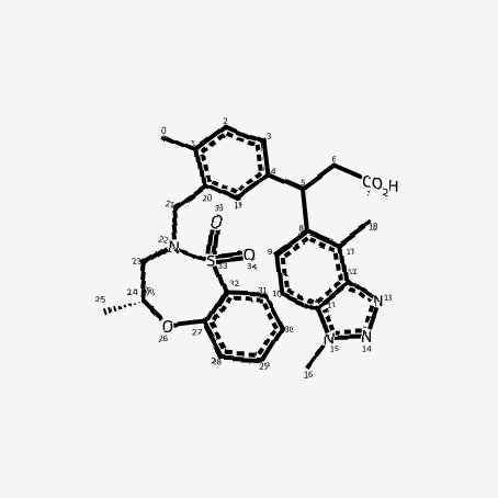 Cc1ccc(C(CC(=O)O)c2ccc3c(nnn3C)c2C)cc1CN1C[C@@H](C)Oc2ccccc2S1(=O)=O